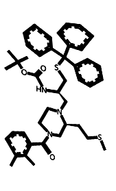 CSCC[C@H]1CN(C(=O)c2cccc(C)c2C)CCN1C[C@H](CSC(c1ccccc1)(c1ccccc1)c1ccccc1)NC(=O)OC(C)(C)C